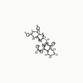 COc1cc(OC)c2sc(Cn3nc(OC(C)=O)c4ccccc4c3=O)nc2c1